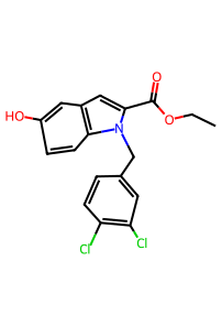 CCOC(=O)c1cc2cc(O)ccc2n1Cc1ccc(Cl)c(Cl)c1